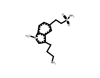 Cn1cc(CCCN)c2cc(CCS(N)(=O)=O)ccc21